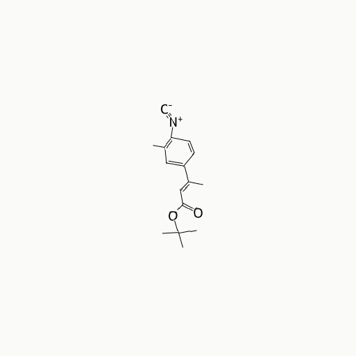 [C-]#[N+]c1ccc(/C(C)=C/C(=O)OC(C)(C)C)cc1C